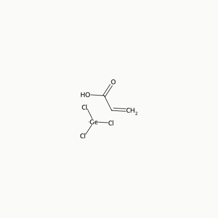 C=CC(=O)O.[Cl][Ge]([Cl])[Cl]